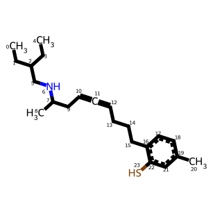 CCC(CC)CNC(C)CC=C=CCCCc1ccc(C)cc1S